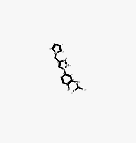 Fc1ccc(-n2cc(Cn3cccc3)nn2)cc1OC(F)F